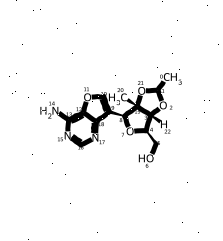 CC1O[C@@H]2[C@@H](CO)O[C@@H](c3coc4c(N)ncnc34)[C@]2(C)O1